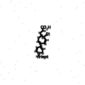 CCCCCCCN1C=CC(C2=CCC(CCC(=O)O)C(CC)C=C2)=CC1